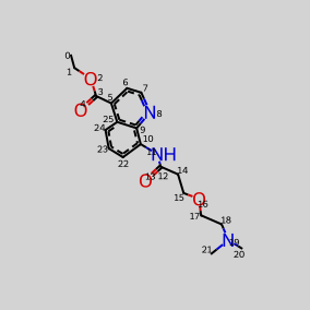 CCOC(=O)c1ccnc2c(NC(=O)CCOCCN(C)C)cccc12